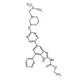 CCOC(=O)Nc1nc2cc(-c3cnc(OC4CCCN(CC(C)C)C4)nc3)cc(-c3ccccn3)c2[nH]1